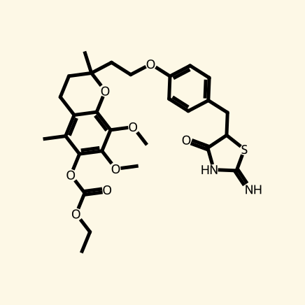 CCOC(=O)Oc1c(C)c2c(c(OC)c1OC)OC(C)(CCOc1ccc(CC3SC(=N)NC3=O)cc1)CC2